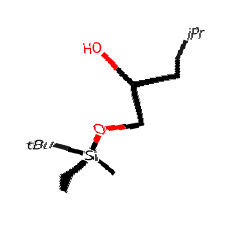 CC(C)CC(O)CO[Si](C)(C)C(C)(C)C